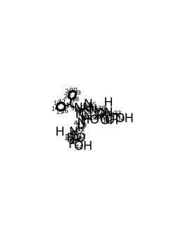 N[C@@H]1CCN(c2nc(NCC(c3ccccc3)c3ccccc3)c3ncn([C@@H]4C[C@H](NC(=O)CO)[C@@H](O)[C@H]4O)c3n2)C1.O=C(O)C(F)(F)F